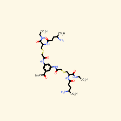 COC(=O)c1cc(NC(=O)CSCC(NC(=O)CCC(N)C(=O)O)C(=O)NCC(=O)O)cc(NC(=O)CSCC(NC(=O)CCC(N)C(=O)O)C(=O)NCC(=O)O)c1